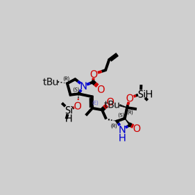 C=CCOC(=O)N1C[C@@H](C(C)(C)C)C[C@@]1(/C=C(\C)C(=O)C[C@H]1NC(=O)[C@@H]1[C@@](C)(O[SiH](C)C)C(C)(C)C)O[SiH](C)C